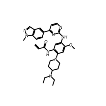 C=CC(=O)Nc1cc(Nc2nccc(-c3ccc4c(cnn4C)c3)n2)c(OC)cc1N1CCC(N(CC)CC)CC1